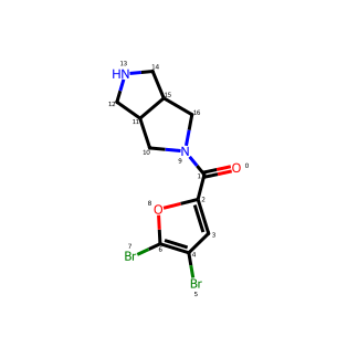 O=C(c1cc(Br)c(Br)o1)N1CC2CNCC2C1